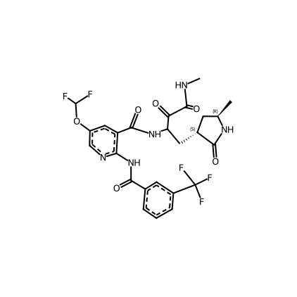 CNC(=O)C(=O)C(C[C@@H]1C[C@@H](C)NC1=O)NC(=O)c1cc(OC(F)F)cnc1NC(=O)c1cccc(C(F)(F)F)c1